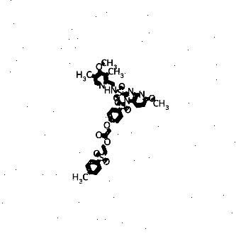 COc1ccc2c(n1)nc(S(=O)(=O)NCc1ncc(C)c(OC)c1C)n2S(=O)(=O)c1ccc(OCC(=O)OCCS(=O)(=O)c2ccc(C)cc2)cc1